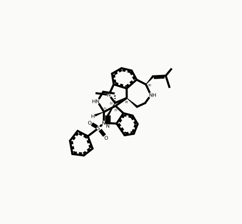 CC(C)=C[C@H]1NCC[C@]2([C@]34CCN[C@H]3N(S(=O)(=O)c3ccccc3)c3ccccc34)c3c1cccc3N(C)[C@@H]2C#N